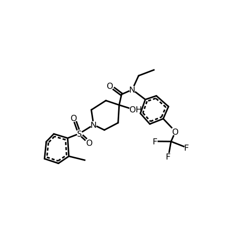 CCN(C(=O)C1(O)CCN(S(=O)(=O)c2ccccc2C)CC1)c1ccc(OC(F)(F)F)cc1